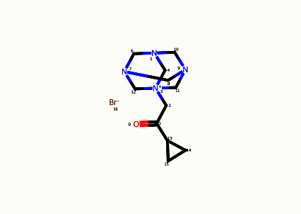 O=C(C[N+]12CN3CN(CN(C3)C1)C2)C1CC1.[Br-]